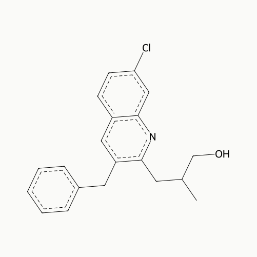 CC(CO)Cc1nc2cc(Cl)ccc2cc1Cc1ccccc1